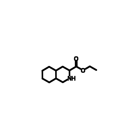 CCOC(=O)C1CC2CCCCC2CN1